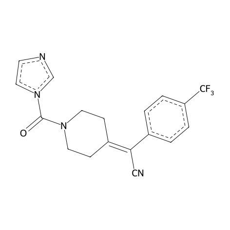 N#CC(=C1CCN(C(=O)n2ccnc2)CC1)c1ccc(C(F)(F)F)cc1